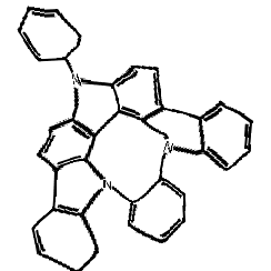 C1=CCC(n2c3ccc4c5c(n6c7ccccc7n7c8ccccc8c8ccc2c(c3c46)c87)CCC=C5)C=C1